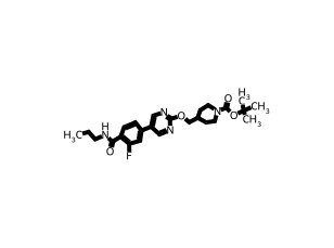 CCCNC(=O)c1ccc(-c2cnc(OCC3CCN(C(=O)OC(C)(C)C)CC3)nc2)cc1F